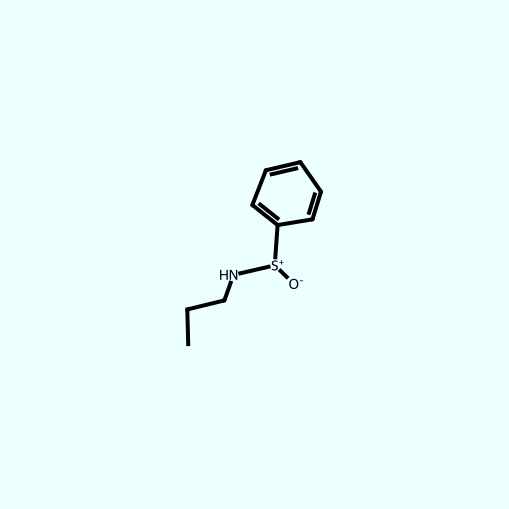 CCCN[S+]([O-])c1ccccc1